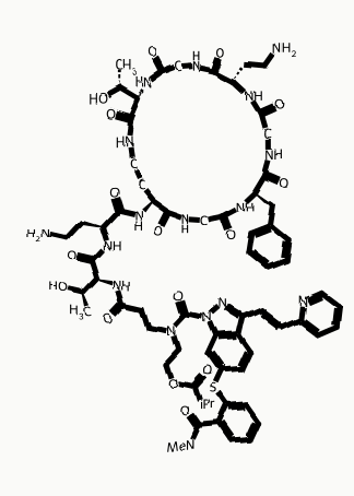 CNC(=O)c1ccccc1Sc1ccc2c(/C=C/c3ccccn3)nn(C(=O)N(CCOC(=O)C(C)C)CCC(=O)N[C@H](C(=O)N[C@@H](CCN)C(=O)N[C@H]3CCNC(=O)[C@H]([C@@H](C)O)NC(=O)CNC(=O)[C@H](CCN)NC(=O)CNC(=O)[C@@H](Cc4ccccc4)NC(=O)CNC3=O)[C@@H](C)O)c2c1